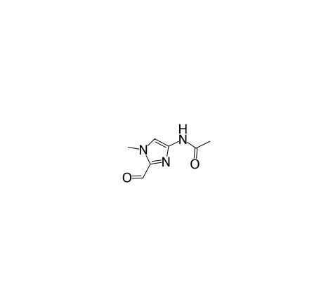 CC(=O)Nc1cn(C)c(C=O)n1